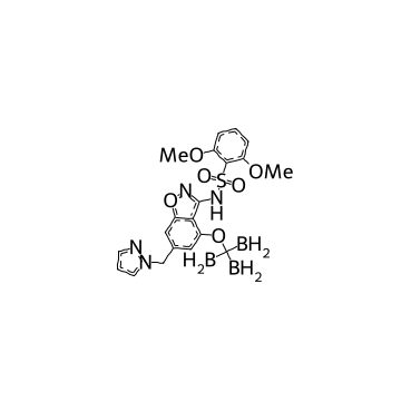 BC(B)(B)Oc1cc(Cn2cccn2)cc2onc(NS(=O)(=O)c3c(OC)cccc3OC)c12